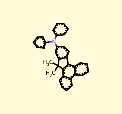 CC1(C)c2cc(N(c3ccccc3)c3ccccc3)ccc2-c2c1c1ccccc1c1ccccc21